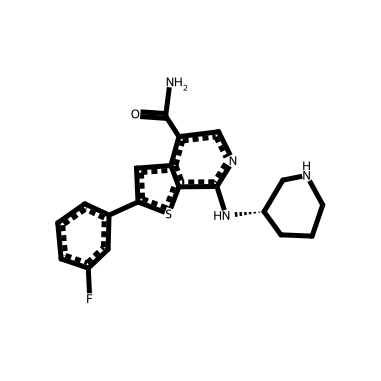 NC(=O)c1cnc(N[C@H]2CCCNC2)c2sc(-c3cccc(F)c3)cc12